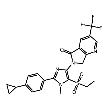 CCS(=O)(=O)c1c(N2Cc3ncc(C(F)(F)F)cc3C2=O)nc(-c2ccc(C3CC3)cc2)n1C